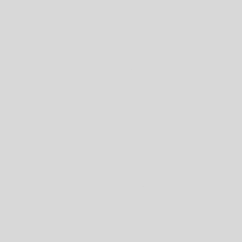 C1=CC(=C2CCCCC2)CC=C1c1ccccc1